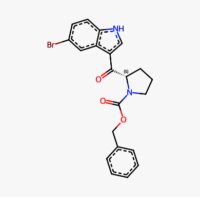 O=C(c1c[nH]c2ccc(Br)cc12)[C@@H]1CCCN1C(=O)OCc1ccccc1